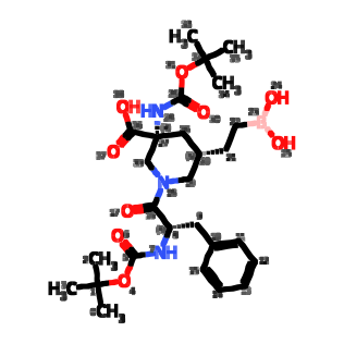 CC(C)(C)OC(=O)N[C@@H](Cc1ccccc1)C(=O)N1C[C@@H](CCB(O)O)C[C@](NC(=O)OC(C)(C)C)(C(=O)O)C1